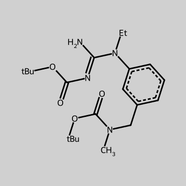 CCN(C(N)=NC(=O)OC(C)(C)C)c1cccc(CN(C)C(=O)OC(C)(C)C)c1